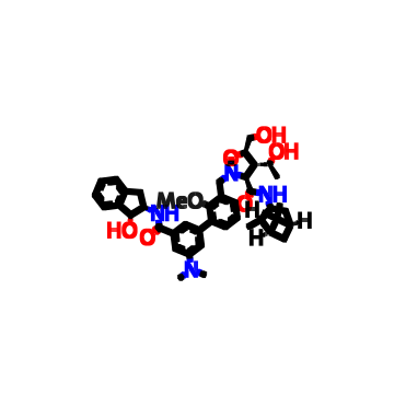 COc1c(CN2O[C@@H](CO)[C@H]([C@H](C)O)[C@H]2C(=O)NC2C[C@H]3C[C@@H]([C@@H]2C)C3(C)C)cccc1-c1cc(C(=O)N[C@@H]2Cc3ccccc3[C@@H]2O)cc(N(C)C)c1